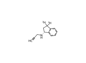 [2H]C1([2H])C[C@@H](NCC#C)c2ccccc21